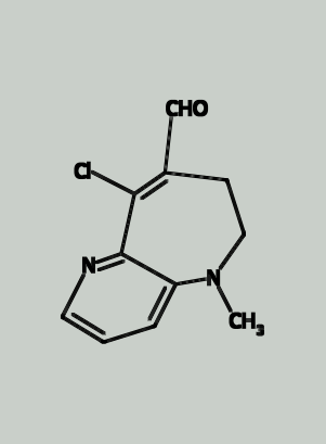 CN1CCC(C=O)=C(Cl)c2ncccc21